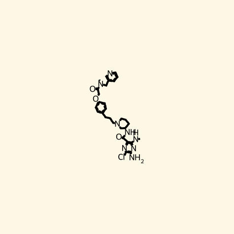 CNc1nc(N)c(Cl)nc1C(=O)NC1CCCN(CCCc2ccc(OCC(=O)N(C)Cc3cccnc3)cc2)C1